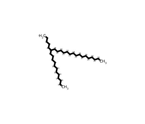 [CH2]CCCCC(CCCCCCCCCCCC)CCCCCCCCCCCCCCCC